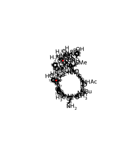 CCCC[C@H](NC(=O)[C@H](Cc1ccc(O)cc1)NC(=O)[C@@H]1CCCN1C(=O)[C@H](CC(=O)O)NC(=O)[C@H](C)NC(=O)[C@H](Cc1ccccc1)NCC(=O)[C@@H]1CSCC(=O)N2CN(C(=O)CCSC)CN(C2)C(=O)CCSC[C@H](NC(C)=O)C(=O)N[C@@H](CC(C)(C)C)C(=O)N(CCC)[C@@H](C)C(=O)N[C@@H](CCCCN)C(=O)N[C@H](C)C(=O)N2CCC[C@H]2C(=O)N[C@@H](Cc2ccc(O)cc2)C(=O)N1)C(=O)N[C@@H](C)C(=O)N[C@@H](C)C(N)=O